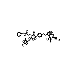 Cc1oc(=O)oc1COC(=O)[C@H](CCC(=O)OCc1ccccc1)NC(=O)c1ccc(CCc2c[nH]c3nc(N)[nH]c(=O)c23)cc1